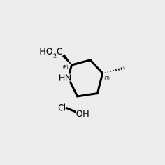 C[C@@H]1CCN[C@@H](C(=O)O)C1.OCl